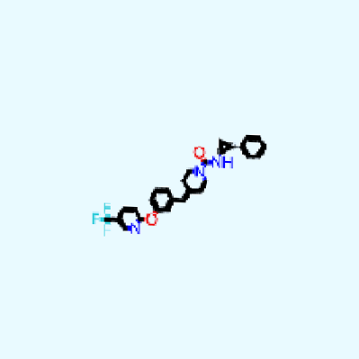 O=C(N[C@H]1C[C@@H]1c1ccccc1)N1CCC(=Cc2cccc(Oc3ccc(C(F)(F)F)cn3)c2)CC1